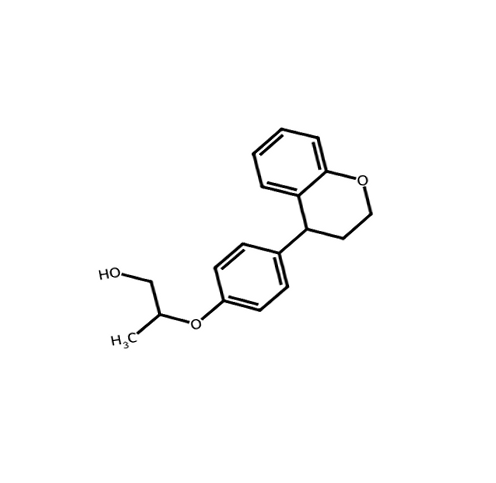 CC(CO)Oc1ccc(C2CCOc3ccccc32)cc1